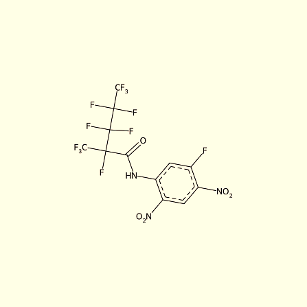 O=C(Nc1cc(F)c([N+](=O)[O-])cc1[N+](=O)[O-])C(F)(C(F)(F)F)C(F)(F)C(F)(F)C(F)(F)F